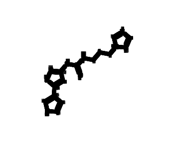 O=C(NCCCn1cncn1)Oc1cc(-c2ccoc2)on1